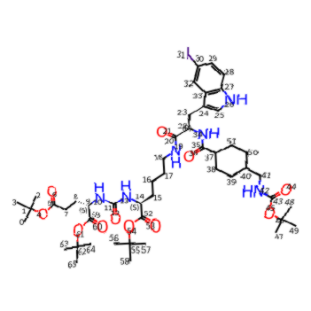 CC(C)(C)OC(=O)CC[C@H](NC(=O)N[C@@H](CCCCNC(=O)[C@@H](Cc1c[nH]c2ccc(I)cc12)NC(=O)C1CCC(CNC(=O)OC(C)(C)C)CC1)C(=O)OC(C)(C)C)C(=O)OC(C)(C)C